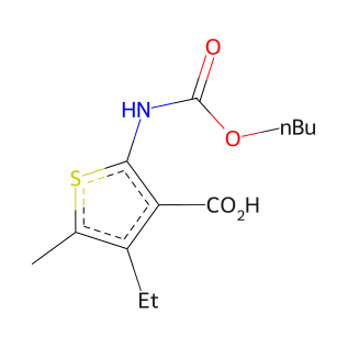 CCCCOC(=O)Nc1sc(C)c(CC)c1C(=O)O